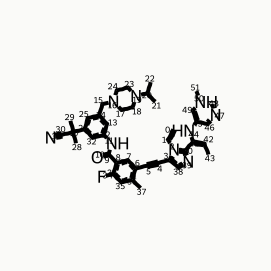 C=Cn1c(C#Cc2cc(C(=O)Nc3cc(CN4CCN(C(C)C)CC4)cc(C(C)(C)C#N)c3)c(F)cc2C)cnc1/C(=C\C)NC(/C=N\C)=C/NC